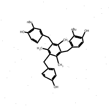 CCCCc1cc(Cc2c(C)c(Cc3ccc(O)cc3)c(C)c(Cc3ccc(O)c(CCCC)c3)c2C)ccc1O